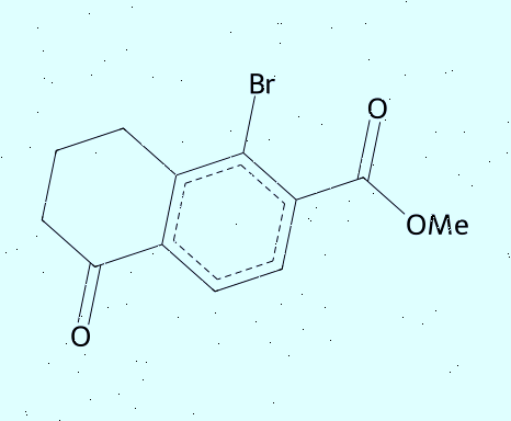 COC(=O)c1ccc2c(c1Br)CCCC2=O